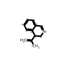 C=C(C)C1CN=Cc2ccccc21